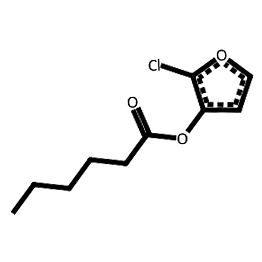 CCCCCC(=O)Oc1ccoc1Cl